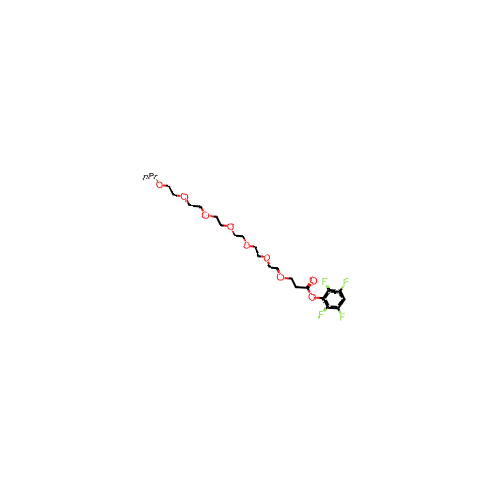 CCCOCCOCCOCCOCCOCCOCCOCCC(=O)Oc1c(F)c(F)cc(F)c1F